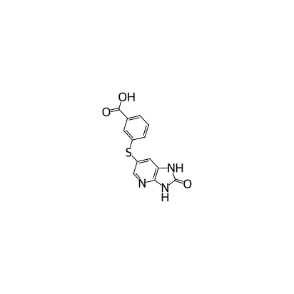 O=C(O)c1cccc(Sc2cnc3[nH]c(=O)[nH]c3c2)c1